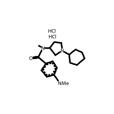 CNc1ccc(C(=O)N(C)C2CCN(C3CCCCC3)C2)cc1.Cl.Cl